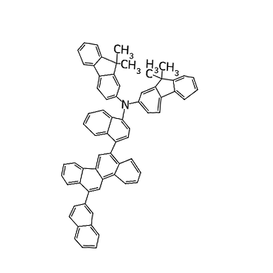 CC1(C)c2ccccc2-c2ccc(N(c3ccc4c(c3)C(C)(C)c3ccccc3-4)c3ccc(-c4cc5c6ccccc6c(-c6ccc7ccccc7c6)cc5c5ccccc45)c4ccccc34)cc21